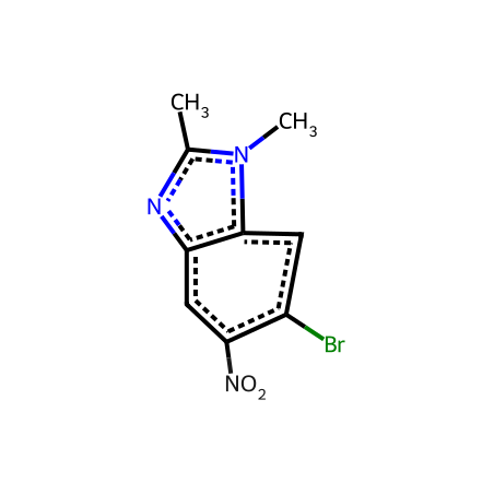 Cc1nc2cc([N+](=O)[O-])c(Br)cc2n1C